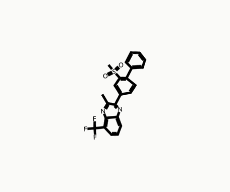 Cc1nc2c(C(F)(F)F)cccc2nc1-c1ccc(-c2ccccc2)c(S(C)(=O)=O)c1